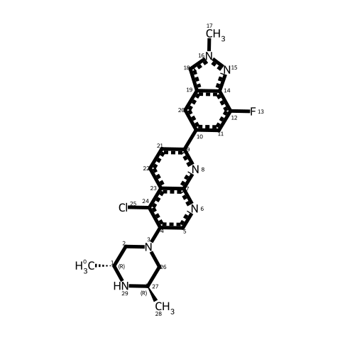 C[C@@H]1CN(c2cnc3nc(-c4cc(F)c5nn(C)cc5c4)ccc3c2Cl)C[C@@H](C)N1